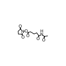 CC(=O)NC(=O)CCCC(=O)ON1C(=O)CCC1=O